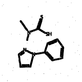 CN(C)C(=S)S.c1ccc(-n2cccn2)cc1